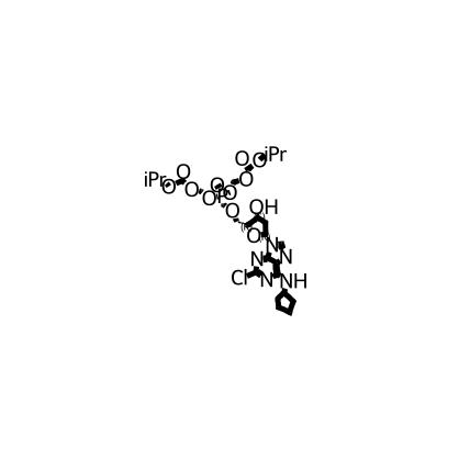 CC(C)OC(=O)OCOP(=O)(COC[C@H]1O[C@@H](n2cnc3c(NC4CCCC4)nc(Cl)nc32)C[C@@H]1O)OCOC(=O)OC(C)C